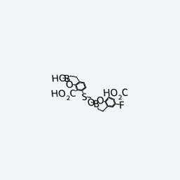 O=C(O)c1cc(F)cc2c1OB(OCSc1ccc3c(c1C(=O)O)OB(O)CC3)CC2